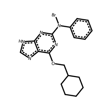 BrN(c1ccccc1)c1nc(OCC2CCCCC2)c2nc[nH]c2n1